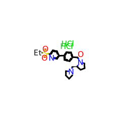 CCS(=O)(=O)c1ccc(-c2ccc(C(=O)N3CCC[C@H]3CN3CCCC3)cc2)cn1.Cl.Cl